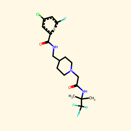 CC(C)(NC(=O)CN1CCC(CNC(=O)c2cc(F)cc(Cl)c2)CC1)C(F)(F)F